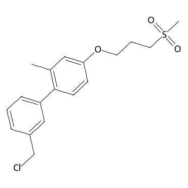 Cc1cc(OCCCS(C)(=O)=O)ccc1-c1cccc(CCl)c1